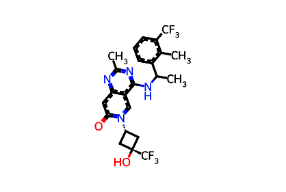 Cc1nc(NC(C)c2cccc(C(F)(F)F)c2C)c2cn([C@H]3C[C@](O)(C(F)(F)F)C3)c(=O)cc2n1